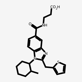 CC1CCCCC1n1c(Cc2cccs2)nc2cc(C(=O)NCCC(=O)O)ccc21